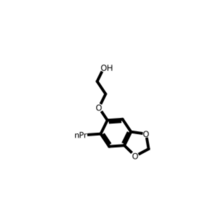 CCCc1cc2c(cc1OCCO)OCO2